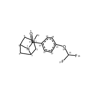 CN1CC2CC(C1)N2C(=O)c1ccc(OC(F)F)cc1